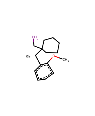 COc1ccccc1CC1(CP)CCCCC1.[Rh]